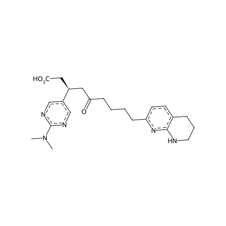 CN(C)c1ncc([C@@H](CC(=O)O)CC(=O)CCCCc2ccc3c(n2)NCCC3)cn1